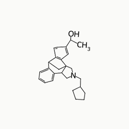 CC(O)c1ccc2c(c1)C13CC2c2ccccc2C1CN(CC1CCCC1)C3